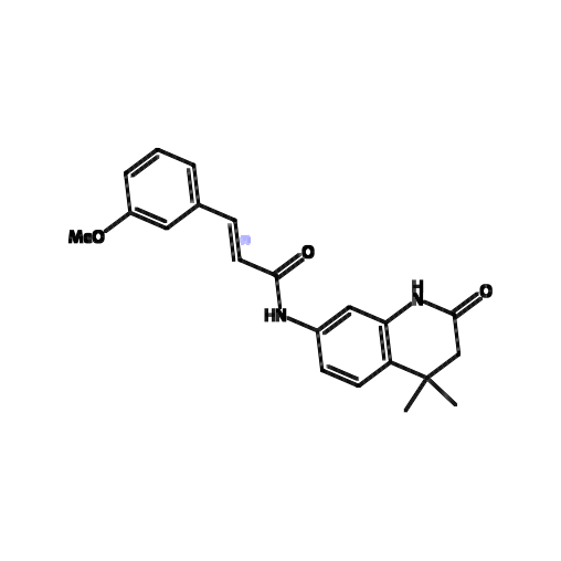 COc1cccc(/C=C/C(=O)Nc2ccc3c(c2)NC(=O)CC3(C)C)c1